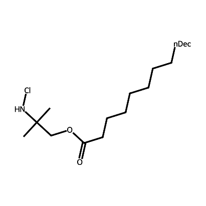 CCCCCCCCCCCCCCCCCC(=O)OCC(C)(C)NCl